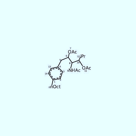 CCCCCCCCc1ccc(CC(OC(C)=O)C(NC(C)=O)C(OC(C)=O)C(C)C)cc1